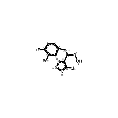 O/N=C(/Nc1ccc(F)c(Br)c1)c1nsnc1Cl